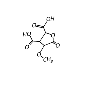 COC1C(=O)OC(C(=O)O)C1C(=O)O